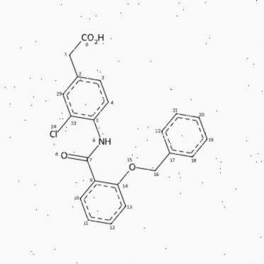 O=C(O)Cc1ccc(NC(=O)c2ccccc2OCc2ccccc2)c(Cl)c1